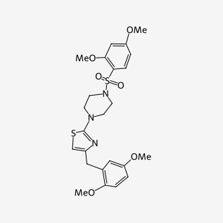 COc1ccc(OC)c(Cc2csc(N3CCN(S(=O)(=O)c4ccc(OC)cc4OC)CC3)n2)c1